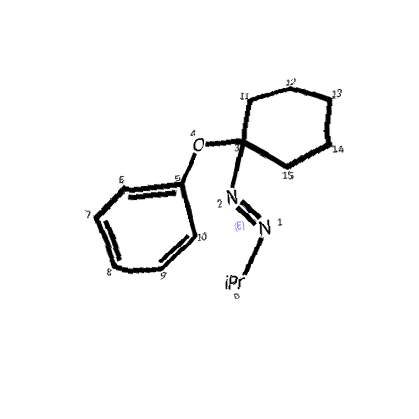 CC(C)/N=N/C1(Oc2ccccc2)CCCCC1